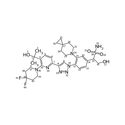 CC(C)(O)c1ccc(-c2cn(-c3ccc(C(CO)S(N)(=O)=O)cc3N3CCC4(CC3)CC4)nn2)nc1N1CCC(F)(F)CC1